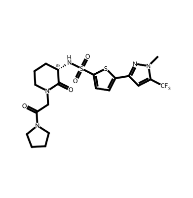 Cn1nc(-c2ccc(S(=O)(=O)N[C@H]3CCCN(CC(=O)N4CCCC4)C3=O)s2)cc1C(F)(F)F